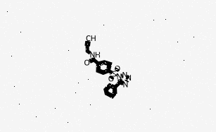 C#CCNC(=O)c1ccc(S(=O)(=O)n2nnnc2-c2ccccc2)cc1